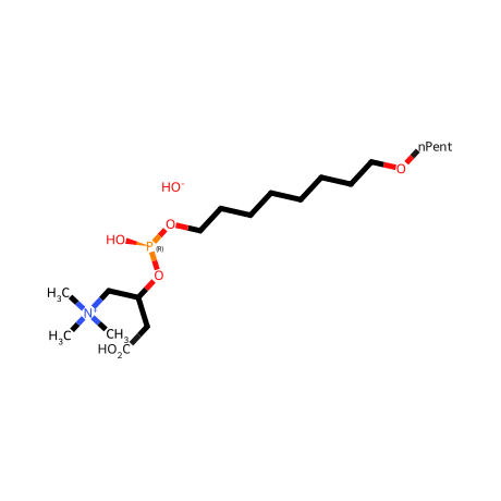 CCCCCOCCCCCCCCO[P@](O)OC(CC(=O)O)C[N+](C)(C)C.[OH-]